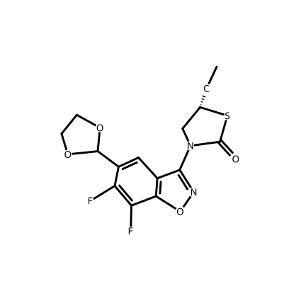 CC[C@H]1CN(c2noc3c(F)c(F)c(C4OCCO4)cc23)C(=O)S1